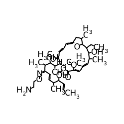 C/C=C/C(O)C(C)/C=C/C(=N\OCCN)C(C)C(O)C(C)C1OC(=O)/C(OC)=C/C(C)=C/C(C)C(O)C(CC)C2O/C(=C\C=C\C1OC)CC2C